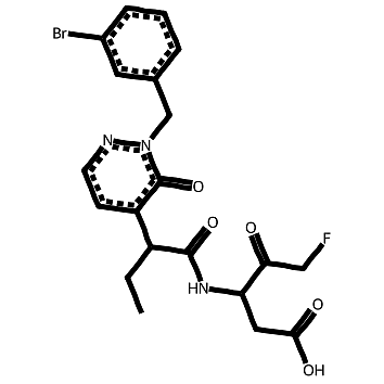 CCC(C(=O)NC(CC(=O)O)C(=O)CF)c1ccnn(Cc2cccc(Br)c2)c1=O